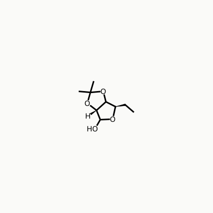 CC[C@H]1OC(O)[C@@H]2OC(C)(C)OC21